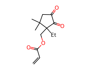 C=CC(=O)OCC1(CC)C(=O)C(=O)CC1(C)C